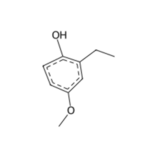 CCc1cc(OC)ccc1O